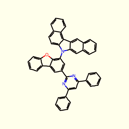 c1ccc(-c2cc(-c3ccccc3)nc(-c3cc(-n4c5cc6ccccc6cc5c5c6ccccc6ccc54)c4oc5ccccc5c4c3)n2)cc1